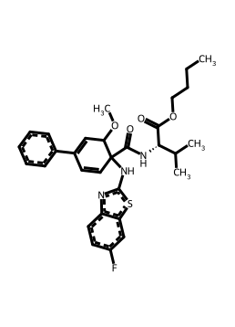 CCCCOC(=O)[C@@H](NC(=O)C1(Nc2nc3ccc(F)cc3s2)C=CC(c2ccccc2)=CC1OC)C(C)C